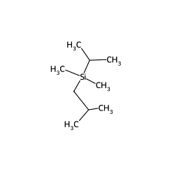 CC(C)C[Si](C)(C)C(C)C